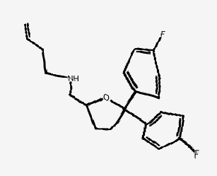 C=CCCNCC1CCC(c2ccc(F)cc2)(c2ccc(F)cc2)O1